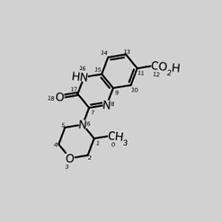 CC1COCCN1c1nc2cc(C(=O)O)ccc2[nH]c1=O